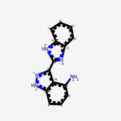 Nc1cccc2[nH]nc(-c3nc4cc[c]cc4[nH]3)c12